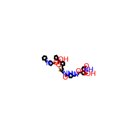 O=C(NCc1csc(-c2cccc([C@](O)(C(=O)OCC3CCN(Cc4ccccc4)CC3)c3ccccc3)c2)c1)c1ccc(CNC[C@H](O)c2ccc(O)c3[nH]c(=O)ccc23)cc1